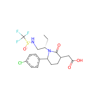 CC[C@@H](CN[S+]([O-])C(F)(F)F)N1C(=O)C(CC(=O)O)CCC1c1ccc(Cl)cc1